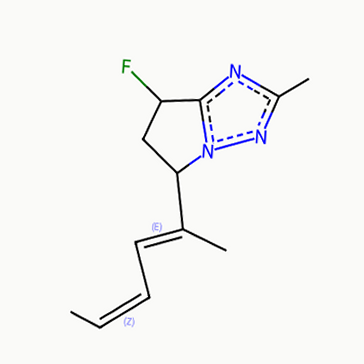 C/C=C\C=C(/C)C1CC(F)c2nc(C)nn21